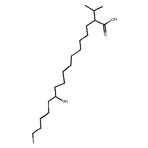 CCCCCCC(O)CCCCCCCCCC(C(=O)O)C(C)C